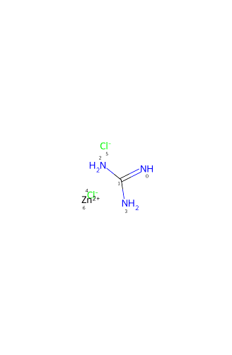 N=C(N)N.[Cl-].[Cl-].[Zn+2]